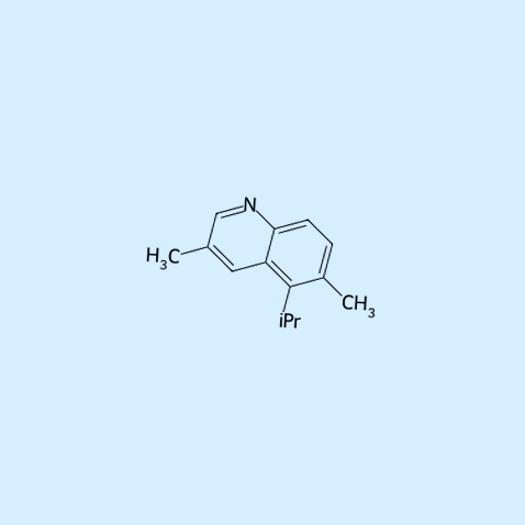 Cc1cnc2ccc(C)c(C(C)C)c2c1